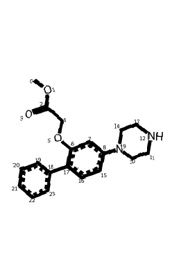 COC(=O)COc1cc(N2CCNCC2)ccc1-c1ccccc1